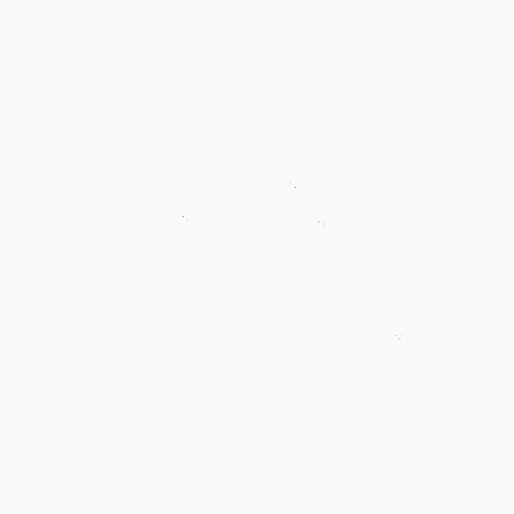 CCC(NC(=O)c1ccc2c(c1)nc(C)n2Cc1cccc(OC)c1)c1ccccc1